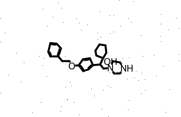 OC1(C(CN2CCNCC2)c2ccc(OCCc3ccccc3)cc2)CCCCC1